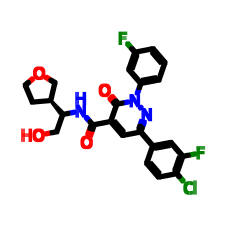 O=C(NC(CO)[C@H]1CCOC1)c1cc(-c2ccc(Cl)c(F)c2)nn(-c2cccc(F)c2)c1=O